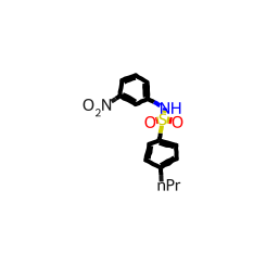 CCCc1ccc(S(=O)(=O)Nc2cccc([N+](=O)[O-])c2)cc1